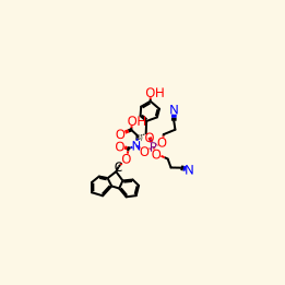 N#CCCOP(=O)(OCCC#N)ON(C(=O)OCC1c2ccccc2-c2ccccc21)[C@@H](Cc1ccc(O)cc1)C(=O)O